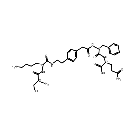 NCCCC[C@H](NC(=O)[C@@H](N)CO)C(=O)NCCc1ccc(CC(=O)N[C@@H](Cc2ccccc2)C(=O)N[C@@H](CCC(N)=O)C(=O)O)cc1